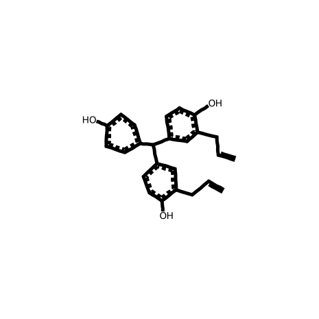 C=CCc1cc(C(c2ccc(O)cc2)c2ccc(O)c(CC=C)c2)ccc1O